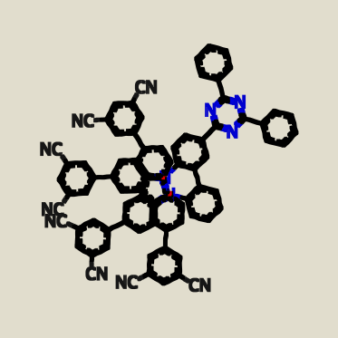 N#Cc1cc(C#N)cc(-c2ccc3c(c2)c2cc(-c4cc(C#N)cc(C#N)c4)ccc2n3-c2ccccc2-c2cc(-c3nc(-c4ccccc4)nc(-c4ccccc4)n3)ccc2-n2c3ccc(-c4cc(C#N)cc(C#N)c4)cc3c3cc(-c4cc(C#N)cc(C#N)c4)ccc32)c1